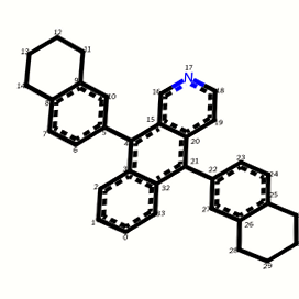 c1ccc2c(-c3ccc4c(c3)CCCC4)c3cnccc3c(-c3ccc4c(c3)CCCC4)c2c1